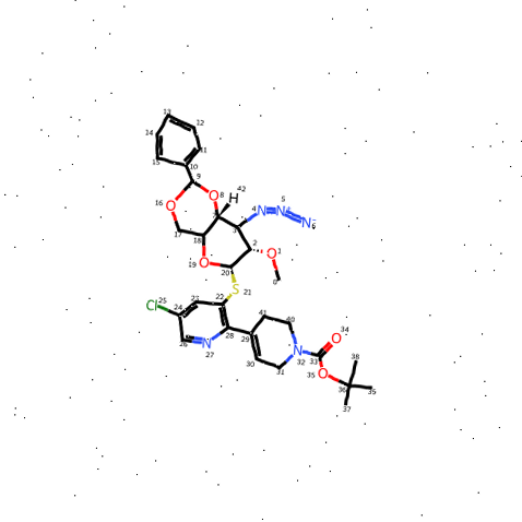 CO[C@H]1C(N=[N+]=[N-])[C@H]2OC(c3ccccc3)OCC2O[C@@H]1Sc1cc(Cl)cnc1C1=CCN(C(=O)OC(C)(C)C)CC1